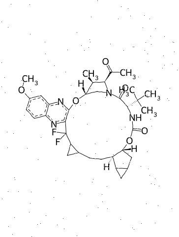 COc1ccc2nc3c(nc2c1)O[C@H]1CN(C(=O)[C@H](C(C)(C)C)NC(=O)O[C@@H]2CC4CC4[C@H]2CCC2CC2C3(F)F)[C@H](C(C)=O)[C@@H]1C